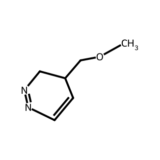 COCC1C=CN=NC1